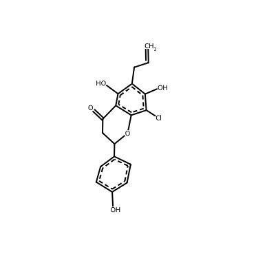 C=CCc1c(O)c(Cl)c2c(c1O)C(=O)CC(c1ccc(O)cc1)O2